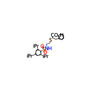 CC(C)c1cc(C(C)C)c(S(=O)(=O)NCCSC(Cc2ccccc2)C(=O)O)c(C(C)C)c1